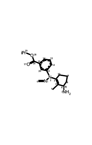 C=NN(C1=C(C)[C@H](N)CCC1)c1cccc(C(=O)OC(C)C)c1